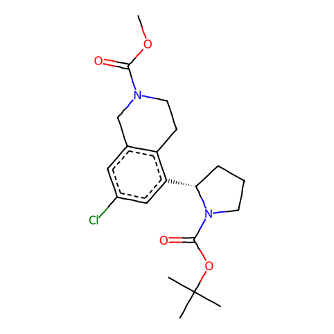 COC(=O)N1CCc2c(cc(Cl)cc2[C@@H]2CCCN2C(=O)OC(C)(C)C)C1